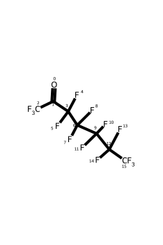 O=C(C(F)(F)F)C(F)(F)C(F)(F)C(F)(F)C(F)(F)C(F)(F)F